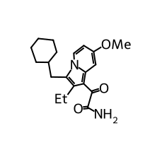 CCc1c(C(=O)C(N)=O)c2cc(OC)ccn2c1CC1CCCCC1